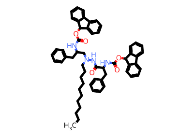 CCCCCCCCCCCN(CC(Cc1ccccc1)NC(=O)OC1c2ccccc2-c2ccccc21)NC(=O)C(Cc1ccccc1)NC(=O)OC1c2ccccc2-c2ccccc21